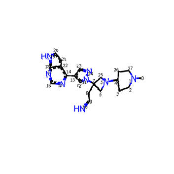 CN1CCC(N2CC(CC=N)(n3cc(-c4ncnc5[nH]ccc45)cn3)C2)CC1